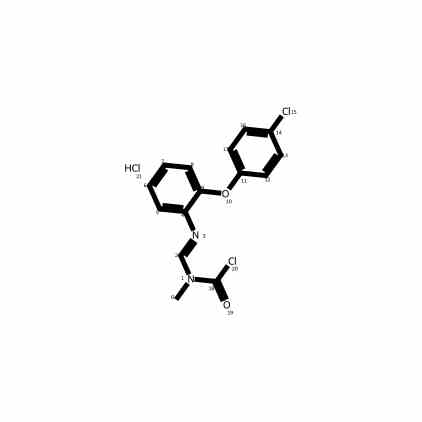 CN(C=Nc1ccccc1Oc1ccc(Cl)cc1)C(=O)Cl.Cl